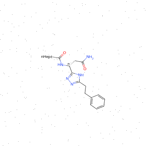 CCCCCCCC(=O)N[C@H](CC(N)=O)c1nnc(CCc2ccccc2)[nH]1